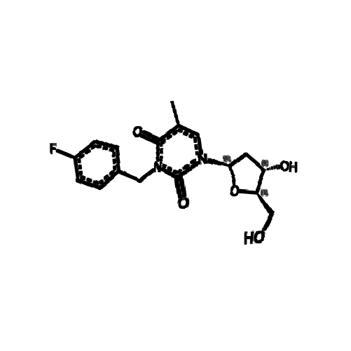 Cc1cn([C@H]2C[C@H](O)[C@@H](CO)O2)c(=O)n(Cc2ccc(F)cc2)c1=O